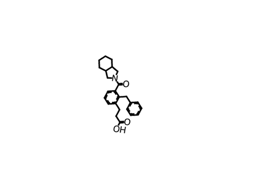 O=C(O)CCc1cccc(C(=O)N2CC3CCCCC3C2)c1Cc1ccccc1